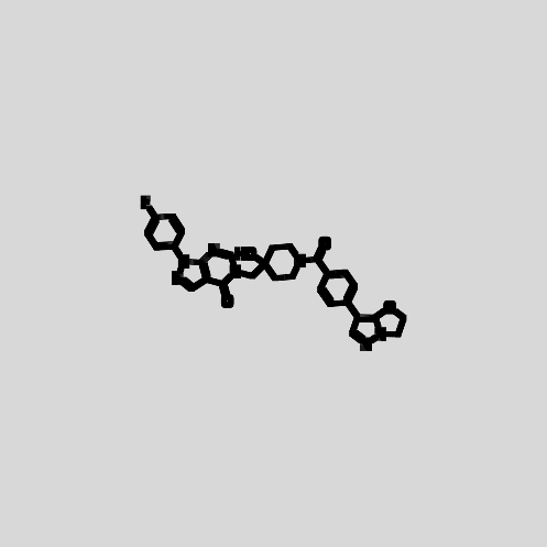 O=C(c1ccc(-c2cnn3c2OCC3)cc1)N1CCC(O)(Cn2cnc3c(cnn3-c3ccc(F)cc3)c2=O)CC1